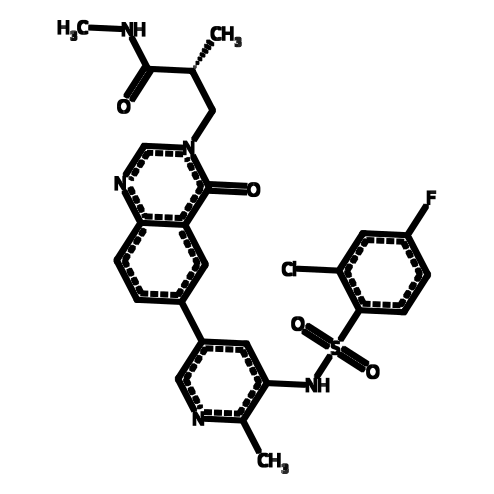 CNC(=O)[C@H](C)Cn1cnc2ccc(-c3cnc(C)c(NS(=O)(=O)c4ccc(F)cc4Cl)c3)cc2c1=O